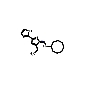 CCC1=CC(c2ccc[nH]2)=N/C1=C/NC1CCCCCCC1